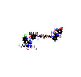 CC[C@@H]1C(=O)N(C)c2cnc(Nc3ccc(C(=O)NCCOCCOCCNc4cccc5c4C(=O)N(C4CCC(=O)NC4=O)C5=O)cc3OC)nc2N1Cc1ccc(Cl)cc1